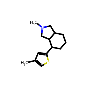 Cc1csc(C2CCCC3CN(C)CC32)c1